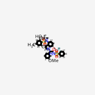 COc1cccc(C(C(=O)NS(=O)(=O)c2ccccc2F)N2CCc3c2cccc3N(CC(=O)O)S(=O)(=O)c2c(C)cc(C)cc2C)c1